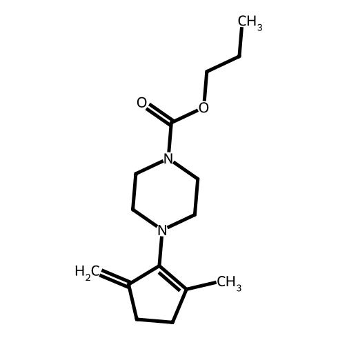 C=C1CCC(C)=C1N1CCN(C(=O)OCCC)CC1